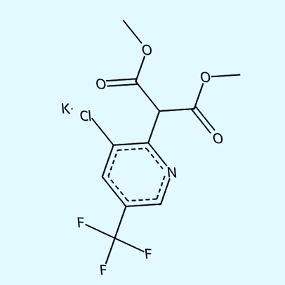 COC(=O)C(C(=O)OC)c1ncc(C(F)(F)F)cc1Cl.[K]